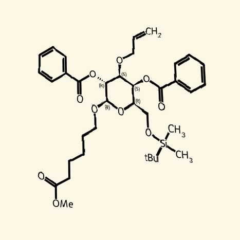 C=CCO[C@H]1[C@@H](OC(=O)c2ccccc2)[C@@H](CO[Si](C)(C)C(C)(C)C)O[C@@H](OCCCCCC(=O)OC)[C@@H]1OC(=O)c1ccccc1